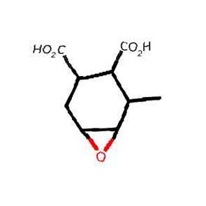 CC1C2OC2CC(C(=O)O)C1C(=O)O